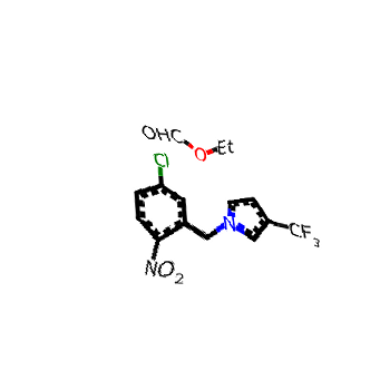 CCOC=O.O=[N+]([O-])c1ccc(Cl)cc1Cn1ccc(C(F)(F)F)c1